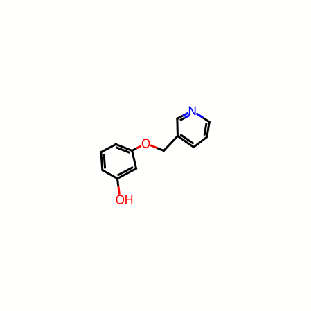 Oc1cccc(OCc2cccnc2)c1